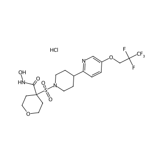 Cl.O=C(NO)C1(S(=O)(=O)N2CCC(c3ccc(OCC(F)(F)C(F)(F)F)cn3)CC2)CCOCC1